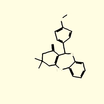 CC1(C)CC(=O)C2=C(C1)Nc1ccccc1NC2c1ccc(OC(F)(F)F)cc1